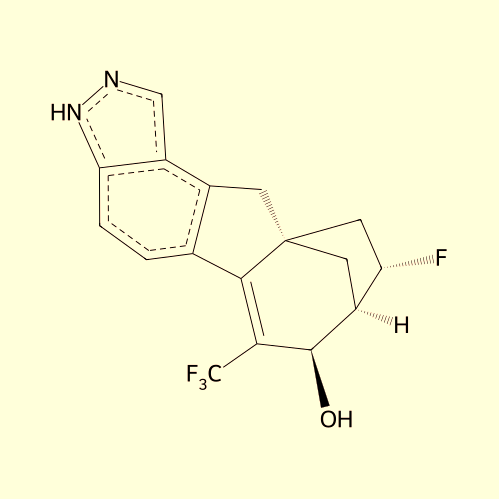 O[C@H]1C(C(F)(F)F)=C2c3ccc4[nH]ncc4c3C[C@]23C[C@H]1[C@@H](F)C3